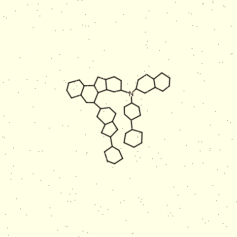 C1CCC(C2CCC(N(C3CCC4CCCCC4C3)C3CCC4CC5C6CCCCC6CC(C6CCC7CC(C8CCCCC8)CC7C6)C5C4C3)CC2)CC1